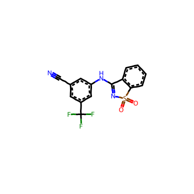 N#Cc1cc(NC2=NS(=O)(=O)c3ccccc32)cc(C(F)(F)F)c1